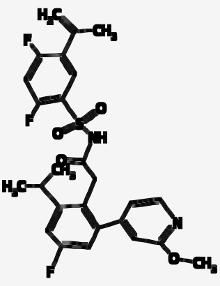 C=C(C)c1cc(S(=O)(=O)NC(=O)Cc2c(-c3ccnc(OC)c3)cc(F)cc2C(C)C)c(F)cc1F